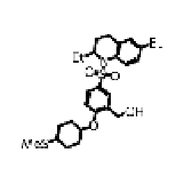 CCc1ccc2c(c1)CCC(CC)N2S(=O)(=O)c1ccc(OC2CCC(SC)CC2)c(CO)c1